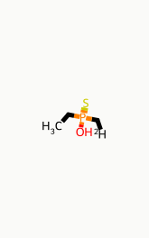 [2H]CP(O)(=S)CC